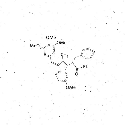 CCC(=O)N(Cc1ccccc1)C1=C(C)C(=Cc2cc(OC)c(OC)c(OC)c2)c2ccc(OC)cc21